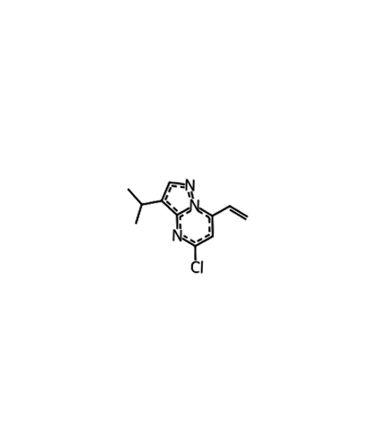 C=Cc1cc(Cl)nc2c(C(C)C)cnn12